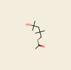 CC(=O)SCC(C)(C)CC(C)(C)O